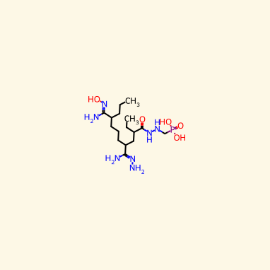 CCCC(CCCC(CC(CC)C(=O)NNCP(=O)(O)O)/C(N)=N/N)/C(N)=N/O